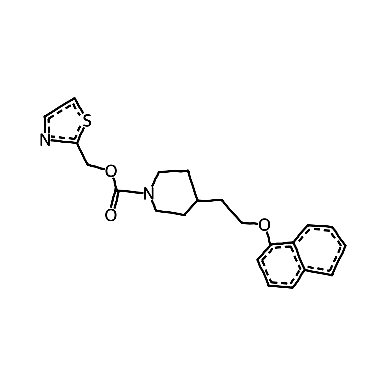 O=C(OCc1nccs1)N1CCC(CCOc2cccc3ccccc23)CC1